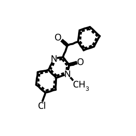 Cn1c(=O)c(C(=O)c2ccccc2)nc2ccc(Cl)cc21